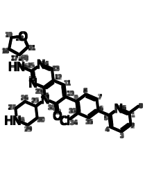 Cc1cccc(-c2ccc(-c3cc4cnc(N[C@@H]5CCOC5)nc4n(C4CCNCC4)c3=O)c(Cl)c2)n1